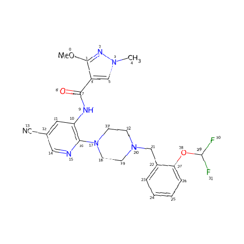 COc1nn(C)cc1C(=O)Nc1cc(C#N)cnc1N1CCN(Cc2ccccc2OC(F)F)CC1